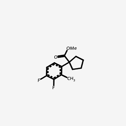 COC(=O)C1(c2ccc(F)c(F)c2C)CCCC1